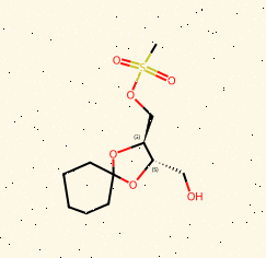 CS(=O)(=O)OC[C@@H]1OC2(CCCCC2)O[C@H]1CO